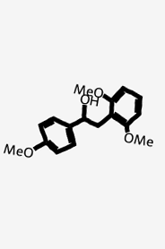 COc1ccc(C(O)Cc2c(OC)cccc2OC)cc1